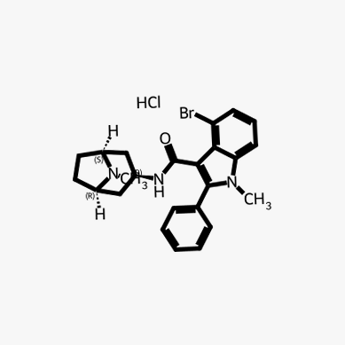 CN1[C@@H]2CC[C@H]1C[C@@H](NC(=O)c1c(-c3ccccc3)n(C)c3cccc(Br)c13)C2.Cl